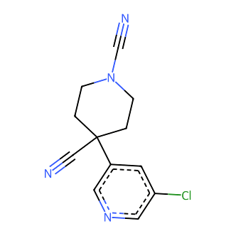 N#CN1CCC(C#N)(c2cncc(Cl)c2)CC1